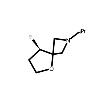 CC(C)N1CC2(C1)OCC[C@H]2F